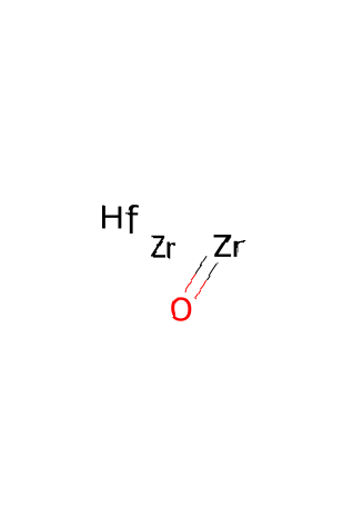 [Hf].[O]=[Zr].[Zr]